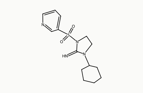 N=C1N(C2CCCCC2)CCN1S(=O)(=O)c1cccnc1